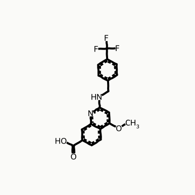 COc1cc(NCc2ccc(C(F)(F)F)cc2)nc2cc(C(=O)O)ccc12